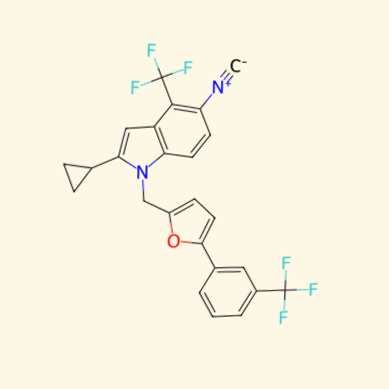 [C-]#[N+]c1ccc2c(cc(C3CC3)n2Cc2ccc(-c3cccc(C(F)(F)F)c3)o2)c1C(F)(F)F